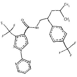 CC(C)CC(CNC(=O)c1cn(-c2ncccn2)nc1C(F)(F)F)c1ccc(C(F)(F)F)cc1